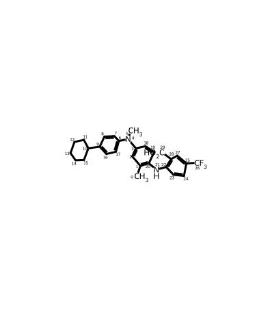 Cc1cc(N(C)c2ccc(C3CCCCC3)cc2)ccc1Nc1ccc(C(F)(F)F)cc1C(=O)O